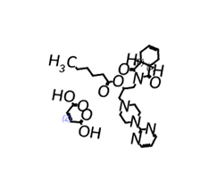 CCCCCC(=O)OC(CN1CCN(c2ncccn2)CC1)CN1C(=O)[C@H]2CC=CC[C@H]2C1=O.O=C(O)/C=C\C(=O)O